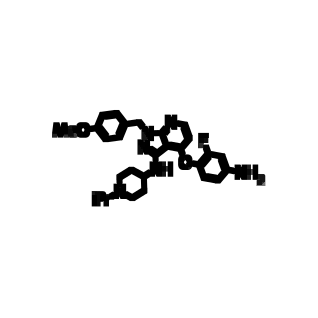 COc1ccc(Cn2nc(NC3CCN(C(C)C)CC3)c3c(Oc4ccc(N)cc4F)ccnc32)cc1